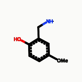 COc1ccc(O)c(C[NH])c1